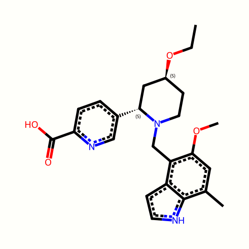 CCO[C@H]1CCN(Cc2c(OC)cc(C)c3[nH]ccc23)[C@H](c2ccc(C(=O)O)nc2)C1